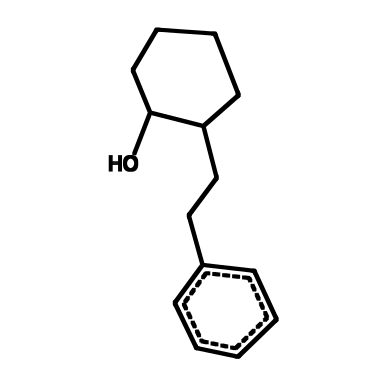 OC1CCCCC1CCc1ccccc1